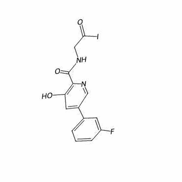 O=C(I)CNC(=O)c1ncc(-c2cccc(F)c2)cc1O